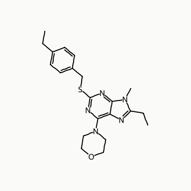 CCc1ccc(CSc2nc(N3CCOCC3)c3nc(CC)n(C)c3n2)cc1